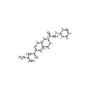 N=C(N)NC(=O)c1ccc2cc(C(=O)NCc3cccnc3)ccc2c1